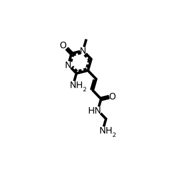 Cn1cc(/C=C/C(=O)NCN)c(N)nc1=O